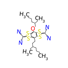 CCCCC(CC)CCc1c2c(c(OCC(CC)CCCC)c3c1SC(=C(C#N)C#N)S3)SC(=C(C#N)C#N)S2